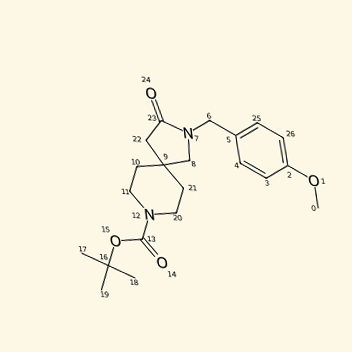 COc1ccc(CN2CC3(CCN(C(=O)OC(C)(C)C)CC3)CC2=O)cc1